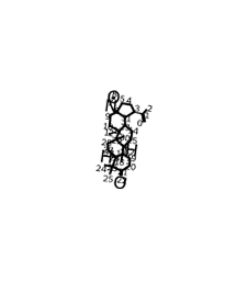 C=C(C)[C@@H]1CCC2(N=O)CC[C@]3(C)C(CC[C@@H]4C5(C)CCC(=O)C(C)(C)[C@@H]5CCC43C)C12